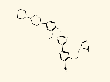 COc1cc(N2CCC(N3CCOCC3)CC2)ccc1Nc1ncc(-c2ccc(C#N)c(O[C@@H](C)Cn3ccnc3C)c2)cn1